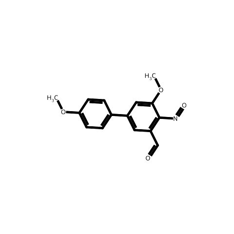 COc1ccc(-c2cc(C=O)c(N=O)c(OC)c2)cc1